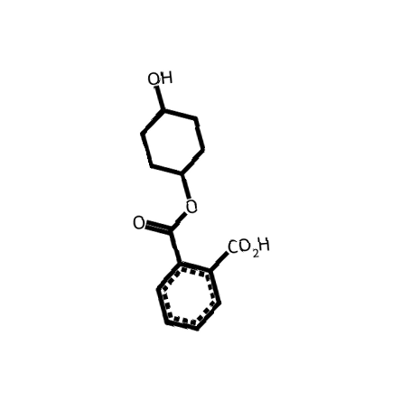 O=C(O)c1ccccc1C(=O)OC1CCC(O)CC1